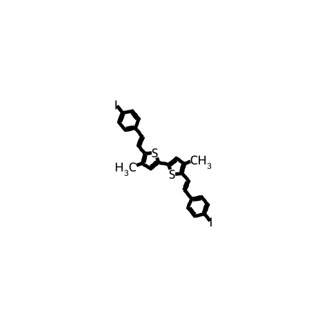 Cc1cc(-c2cc(C)c(/C=C/c3ccc(I)cc3)s2)sc1/C=C/c1ccc(I)cc1